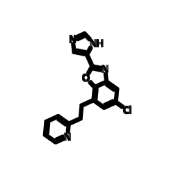 Clc1cc(CCc2ccccn2)c2oc(-c3cnc[nH]3)nc2c1